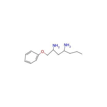 CCCC(N)CC(N)COc1ccccc1